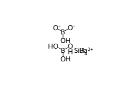 OB(O)O.[Ba+2].[O-]B([O-])O.[SiH4]